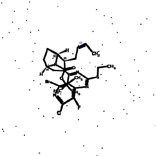 C/C=C\C[C@@H]1[C@@H]2CC[C@H](CN1c1nc(SCC)nc3c(F)c(Cl)nc(Br)c13)N2C(=O)OC(C)(C)C